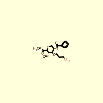 CCCCOC1[C@H](N=O)C(C(=O)OC)OC[C@H]1OC(=O)c1ccccc1